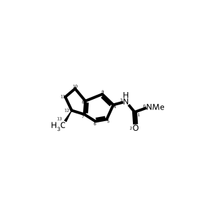 CNC(=O)Nc1ccc2c(c1)CC[C@@H]2C